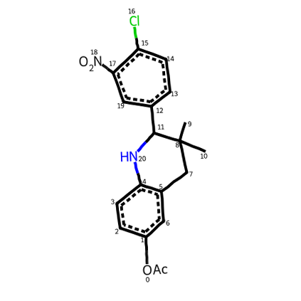 CC(=O)Oc1ccc2c(c1)CC(C)(C)C(c1ccc(Cl)c([N+](=O)[O-])c1)N2